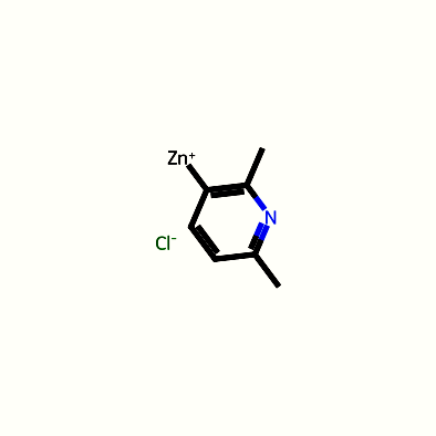 Cc1cc[c]([Zn+])c(C)n1.[Cl-]